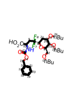 CCCCOC[C@H]1O[C@H](C(F)(F)CC(NC(=O)OCc2ccccc2)C(=O)O)C[C@@H](OCCCC)[C@H]1OCCCC